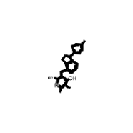 Cc1ccc(C2CCc3c(Cc4c(C(C)C)nc(C)c(C)c4O)cccc32)cc1